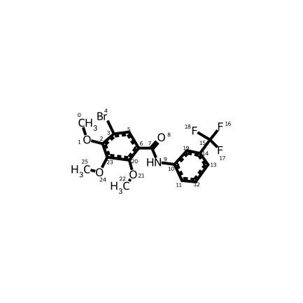 COc1c(Br)cc(C(=O)Nc2cccc(C(F)(F)F)c2)c(OC)c1OC